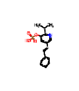 CC(C)c1ncc(/C=C/c2ccccc2)cc1OS(=O)(=O)O